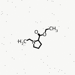 [CH2]CN1CCCC1C(=O)OCC